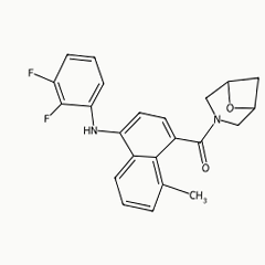 Cc1cccc2c(Nc3cccc(F)c3F)ccc(C(=O)N3CC4CC(C3)O4)c12